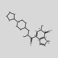 CN(CC1CCN(C2CCCC2)CC1)C(=O)c1cn(C)c(=O)c2[nH]ccc12